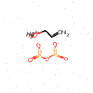 C=CCO.O=[PH]([O-])O[PH](=O)[O-].[Hg+2]